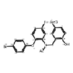 COc1ccc(O)c(CN(C(C)=O)c2cc(F)ccc2Oc2ccc(Br)cc2)c1